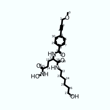 COCC#Cc1ccc(C(=O)NC(CCC(=O)NO)C(=O)NCCCCCCO)cc1